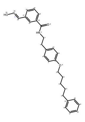 O=C(NCCc1ccc(OCCCCCc2ccccc2)cc1)c1cccc(/C=N/O)c1